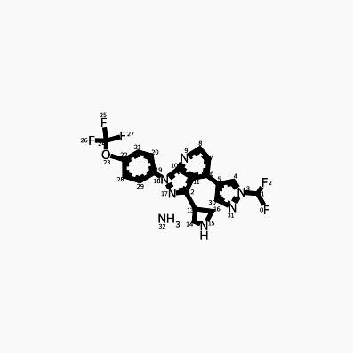 FC(F)n1cc(-c2ccnc3c2c(C2CNC2)nn3-c2ccc(OC(F)(F)F)cc2)cn1.N